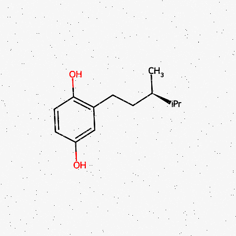 CC(C)[C@H](C)CCc1cc(O)ccc1O